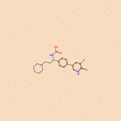 O=C(O)NC(CCN1CCCCC1)c1ccc(-c2c[nH]c(=O)c(F)c2)cc1